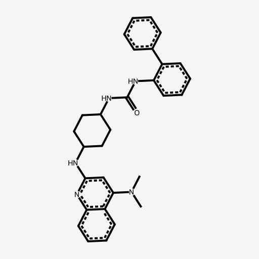 CN(C)c1cc(NC2CCC(NC(=O)Nc3ccccc3-c3ccccc3)CC2)nc2ccccc12